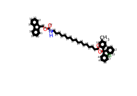 Cc1ccc(C(OC(=O)CCCCCCCCCCCCCCCCNC(=O)OCC2c3ccccc3-c3ccccc32)(c2ccccc2)c2ccccc2Cl)cc1